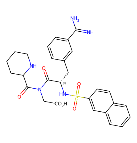 N=C(N)c1cccc(C[C@H](NS(=O)(=O)c2ccc3ccccc3c2)C(=O)N(CC(=O)O)C(=O)C2CCCCN2)c1